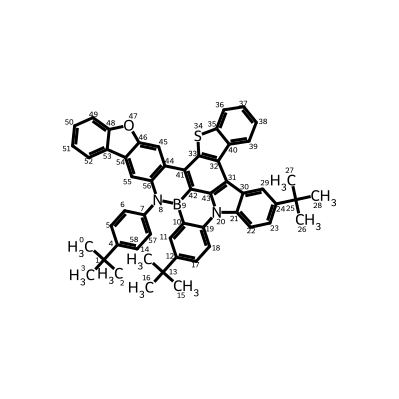 CC(C)(C)c1ccc(N2B3c4cc(C(C)(C)C)ccc4-n4c5ccc(C(C)(C)C)cc5c5c6c(sc7ccccc76)c(c3c54)-c3cc4oc5ccccc5c4cc32)cc1